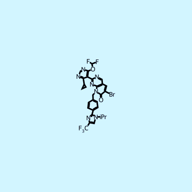 CC(C)n1cc(C(F)(F)F)nc1-c1ccc(Cn2c(=O)c(Br)cc3cnc(-c4c(OC(F)F)ncnc4C4CC4)nc32)cc1